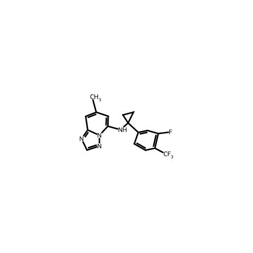 Cc1cc(NC2(c3ccc(C(F)(F)F)c(F)c3)CC2)n2ncnc2c1